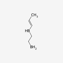 BCCBC=CC